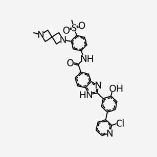 CN1CC2(C1)CN(c1cc(NC(=O)c3ccc4[nH]c(-c5cc(-c6cccnc6Cl)ccc5O)nc4c3)ccc1S(C)(=O)=O)C2